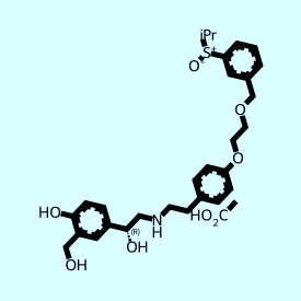 CC(=O)O.CC(C)[S+]([O-])c1cccc(COCCOc2ccc(CCNC[C@H](O)c3ccc(O)c(CO)c3)cc2)c1